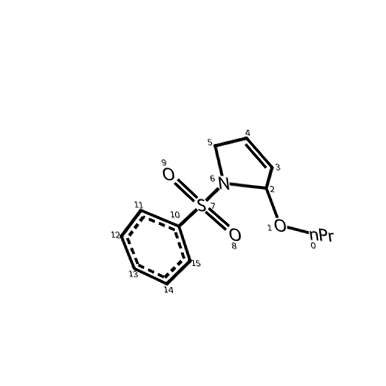 CCCOC1C=CCN1S(=O)(=O)c1ccccc1